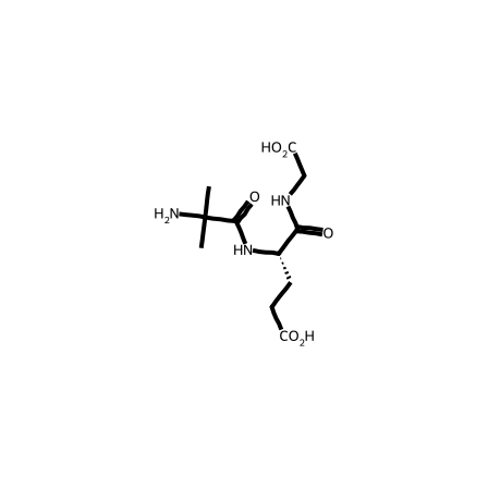 CC(C)(N)C(=O)N[C@@H](CCC(=O)O)C(=O)NCC(=O)O